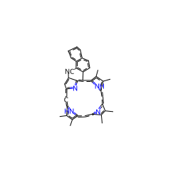 CC1=Cc2cc3[nH]c(cc4nc(cc5[nH]c(c(C)c5C)c(-c5ccc6ccccc6c5C#N)c1n2)C(C)=C4C)c(C)c3C